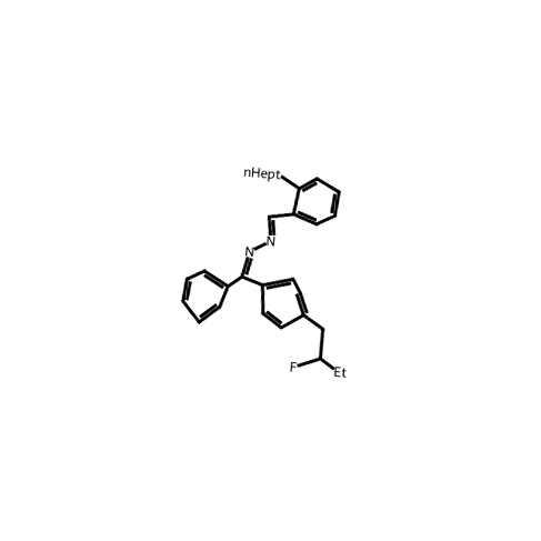 CCCCCCCc1ccccc1C=NN=C(c1ccccc1)c1ccc(CC(F)CC)cc1